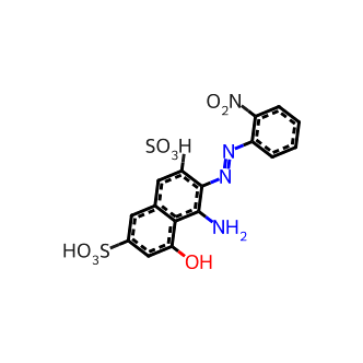 Nc1c(N=Nc2ccccc2[N+](=O)[O-])c(S(=O)(=O)O)cc2cc(S(=O)(=O)O)cc(O)c12